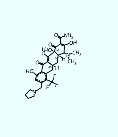 CN(C)[C@@H]1C(O)=C(C(N)=O)C(=O)[C@@]2(O)C(O)=C3C(=O)c4c(O)cc(CN5CCCC5)c(C(F)(F)F)c4C[C@H]3C[C@@H]12